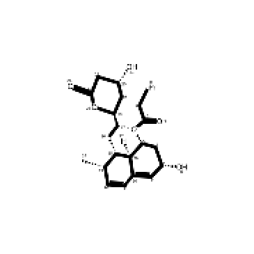 CC(C)CC(=O)O[C@@H]1C[C@H](O)C=C2C=C[C@H](C)[C@H](CC[C@@H]3C[C@@H](O)CC(=O)O3)[C@H]21